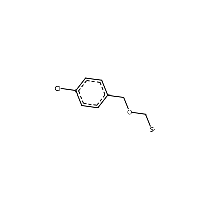 [S]COCc1ccc(Cl)cc1